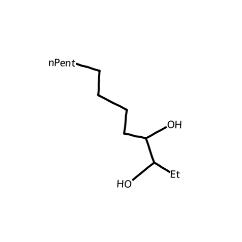 CCCCCCCCCC(O)C(O)CC